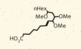 CCCCCCC(CC(OC)C(C=CCCCCCC(=O)O)OC)OC